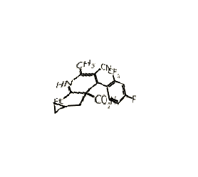 CCC1NC(C)=C(C#N)C(c2ccc(F)cc2C(F)(F)F)C1(CC1CC1)C(=O)O